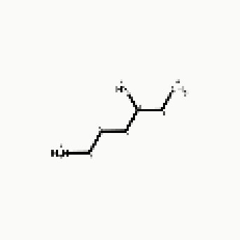 CCC(S)CCCN